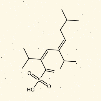 C=C(/C(=C\C(=C/CC(C)C)C(C)C)C(C)C)S(=O)(=O)O